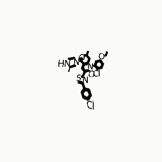 CCOc1ccc(Cl)c(-n2c(CC(C)C)c(C(=O)N3CCN[C@H](C)C3)cc(-c3nc(-c4ccc(Cl)cc4)cs3)c2=O)c1